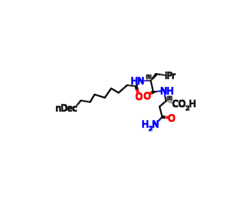 CCCCCCCCCCCCCCCCCC(=O)N[C@@H](CC(C)C)C(=O)N[C@@H](CC(N)=O)C(=O)O